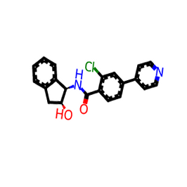 O=C(N[C@@H]1c2ccccc2C[C@@H]1O)c1ccc(-c2ccncc2)cc1Cl